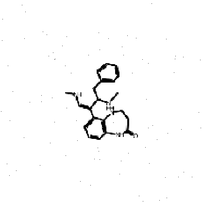 CN/C=C(/c1cccc2c1NCCC(=O)N2)C(Cc1ccccc1)NC